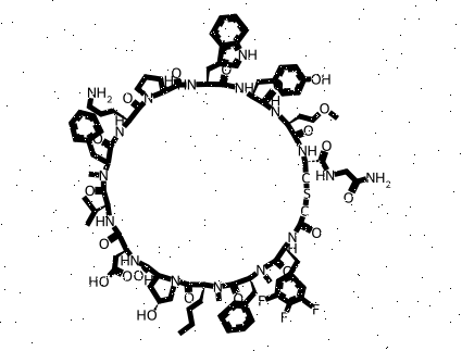 CCCC[C@H]1C(=O)N2C[C@H](O)C[C@@H]2C(=O)N[C@@H](CC(=O)O)C(=O)N[C@@H](C(C)C)C(=O)N(C)C(Cc2ccccc2)C(=O)N[C@@H](CCCN)C(=O)N2CCC[C@@H]2C(=O)N[C@@H](Cc2c[nH]c3ccccc23)C(=O)N[C@@H](Cc2ccc(O)cc2)C(=O)N[C@@H](CCOC)C(=O)N[C@H](C(=O)NCC(N)=O)CSCC(=O)N[C@@H](Cc2cc(F)c(F)c(F)c2)C(=O)N(C)[C@@H](Cc2ccccc2)C(=O)N1C